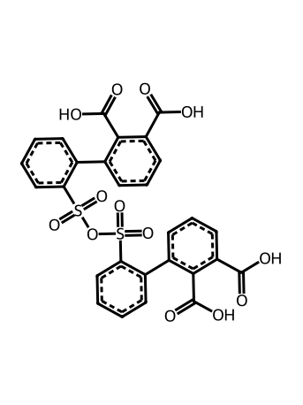 O=C(O)c1cccc(-c2ccccc2S(=O)(=O)OS(=O)(=O)c2ccccc2-c2cccc(C(=O)O)c2C(=O)O)c1C(=O)O